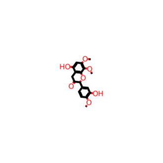 COc1ccc(C2Oc3c(c(O)cc(OC)c3OC)CC2=O)cc1O